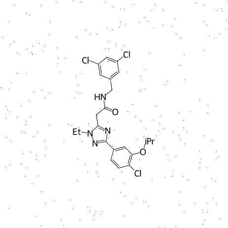 CCn1nc(-c2ccc(Cl)c(OC(C)C)c2)nc1CC(=O)NCc1cc(Cl)cc(Cl)c1